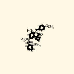 COc1ccc(CN2C(=O)C3(CCC3)c3cc(N(C)S(=O)(=O)c4ccccc4OC)cc(O)c32)cc1